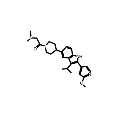 COc1cc(-c2[nH]c3ccc(C4CCN(C(=O)CN(C)C)CC4)cc3c2C(C)C)ccn1